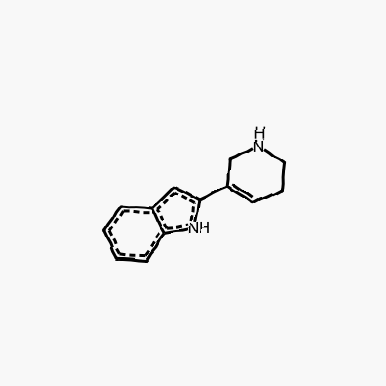 C1=C(c2cc3ccccc3[nH]2)CNCC1